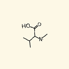 C[N]C(C(=O)O)C(C)C